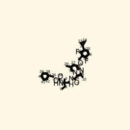 CCC(C)(CNC(=O)c1c(C)nc2c(OCc3c(F)ccc(C4CC4)c3F)cc(C)cn12)NC(=O)OCc1ccccc1